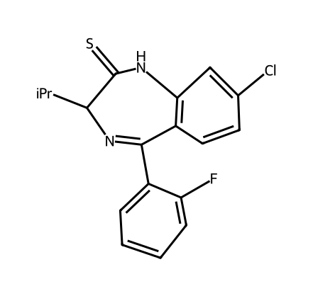 CC(C)C1N=C(c2ccccc2F)c2ccc(Cl)cc2NC1=S